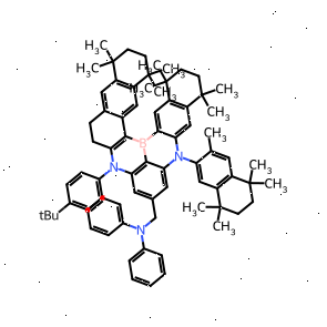 Cc1cc2c(cc1N1c3cc4c(cc3B3C5=C(CCc6cc7c(cc65)C(C)(C)CCC7(C)C)N(c5ccc(C(C)(C)C)cc5)c5cc(CN(c6ccccc6)c6ccccc6)cc1c53)C(C)(C)CCC4(C)C)C(C)(C)CCC2(C)C